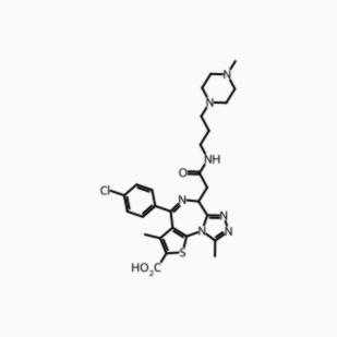 Cc1c(C(=O)O)sc2c1C(c1ccc(Cl)cc1)=NC(CC(=O)NCCCN1CCN(C)CC1)c1nnc(C)n1-2